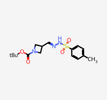 Cc1ccc(S(=O)(=O)N/N=C/C2CN(C(=O)OC(C)(C)C)C2)cc1